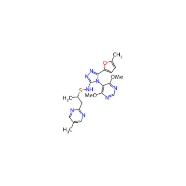 COc1ncnc(OC)c1-n1c(NSC(C)Cc2ncc(C)cn2)nnc1-c1ccc(C)o1